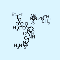 CCC(CC)COC(=O)OC(C)OC(=O)C1=C(CSc2nnnn2CCN(C)C)CS[C@H]2[C@H](NC(=O)Cc3csc(N)n3)C(=O)N12